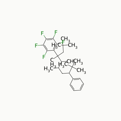 CC(CC(c1ccccc1)C(C)(C)C)C(C)C(C)(CC(C)(C)C)c1c(F)c(F)c(F)c(F)c1F